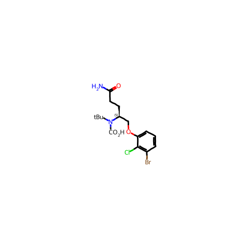 CC(C)(C)N(C(=O)O)[C@@H](CCC(N)=O)COc1cccc(Br)c1Cl